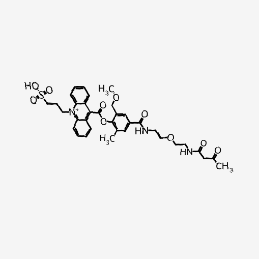 COCc1cc(C(=O)NCCOCCNC(=O)CC(C)=O)cc(C)c1OC(=O)c1c2ccccc2[n+](CCCS(=O)(=O)O)c2ccccc12